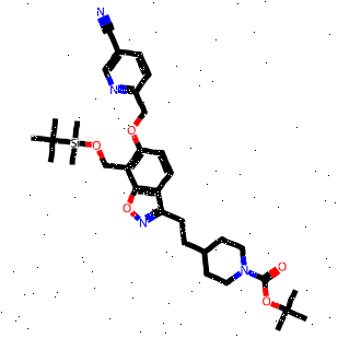 CC(C)(C)OC(=O)N1CCC(CCc2noc3c(CO[Si](C)(C)C(C)(C)C)c(OCc4ccc(C#N)cn4)ccc23)CC1